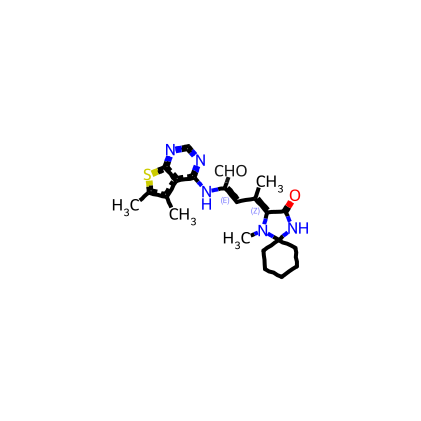 CC(/C=C(\C=O)Nc1ncnc2sc(C)c(C)c12)=C1\C(=O)NC2(CCCCC2)N1C